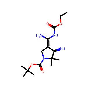 CCOC(=O)N/C(N)=C1/CN(C(=O)OC(C)(C)C)C(C)(C)C1=N